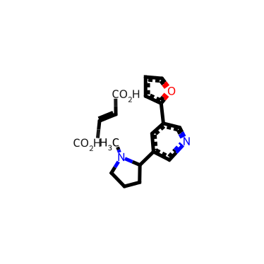 CN1CCCC1c1cncc(-c2ccco2)c1.O=C(O)C=CC(=O)O